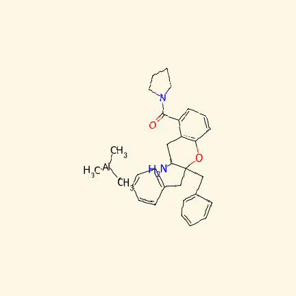 NC1Cc2c(cccc2C(=O)N2CCCC2)OC1(Cc1ccccc1)Cc1ccccc1.[CH3][Al]([CH3])[CH3]